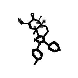 Cc1ccc(-n2nc3c(c2-c2ccccc2)CC[C@@H]2[C@@H](C)C(=O)C(C#N)=C[C@@]32C)cc1